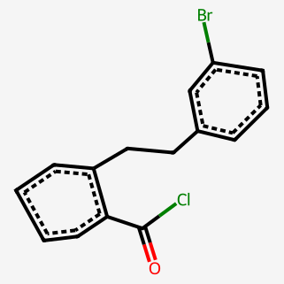 O=C(Cl)c1ccccc1CCc1cccc(Br)c1